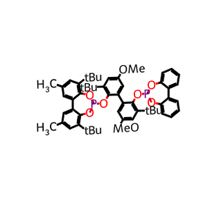 COc1cc(-c2cc(OC)cc(C(C)(C)C)c2Op2oc3c(C(C)(C)C)cc(C)cc3c3cc(C)cc(C(C)(C)C)c3o2)c(Op2oc3ccccc3c3ccccc3o2)c(C(C)(C)C)c1